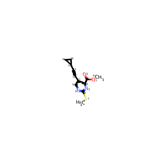 COC(=O)c1nc(SC)ncc1C#CC1CC1